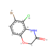 O=C1COc2ccc(Br)c(Cl)c2N1